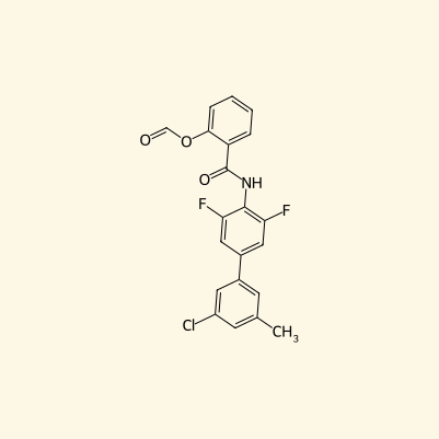 Cc1cc(Cl)cc(-c2cc(F)c(NC(=O)c3ccccc3OC=O)c(F)c2)c1